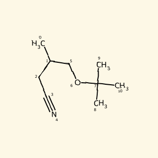 CC(CC#N)COC(C)(C)C